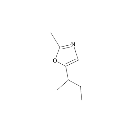 CCC(C)c1cnc(C)o1